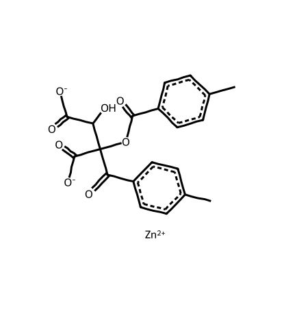 Cc1ccc(C(=O)OC(C(=O)[O-])(C(=O)c2ccc(C)cc2)C(O)C(=O)[O-])cc1.[Zn+2]